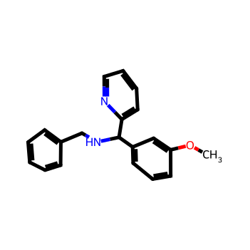 COc1cccc(C(NCc2ccccc2)c2ccccn2)c1